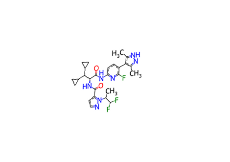 Cc1n[nH]c(C)c1-c1ccc(NC(=O)[C@@H](NC(=O)c2ccnn2C(C)C(F)F)C(C2CC2)C2CC2)nc1F